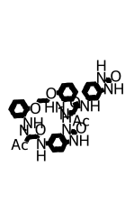 CC(=O)/C(=N/Nc1ccccc1OCCOc1ccccc1N/N=C(/C(C)=O)C(=O)Nc1ccc2[nH]c(=O)[nH]c2c1)C(=O)Nc1ccc2[nH]c(=O)[nH]c2c1